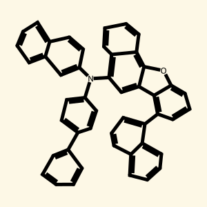 c1ccc(-c2ccc(N(c3ccc4ccccc4c3)c3cc4c(oc5cccc(-c6cccc7ccccc67)c54)c4ccccc34)cc2)cc1